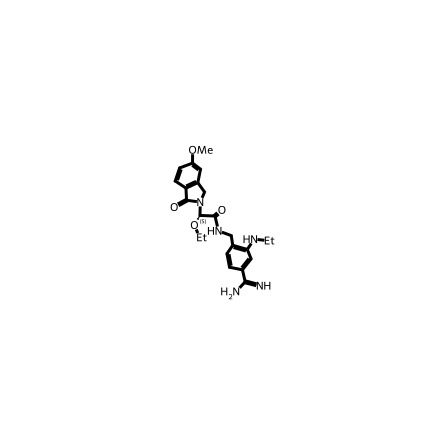 CCNc1cc(C(=N)N)ccc1CNC(=O)[C@H](OCC)N1Cc2cc(OC)ccc2C1=O